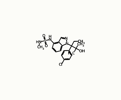 CCC(c1ccc(Cl)cc1)(n1ncc2c(NS(=O)(=O)NC)cccc21)C(C)(C)O